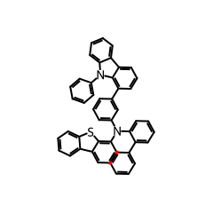 c1ccc(-c2ccccc2N(c2cccc(-c3cccc4c5ccccc5n(-c5ccccc5)c34)c2)c2cccc3c2sc2ccccc23)cc1